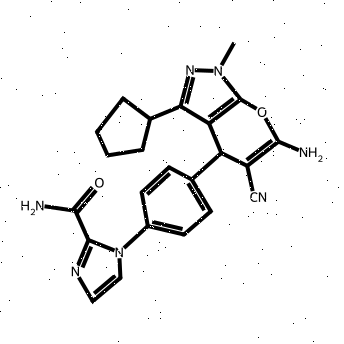 Cn1nc(C2CCCC2)c2c1OC(N)=C(C#N)C2c1ccc(-n2ccnc2C(N)=O)cc1